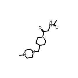 CC(=O)NCC(=O)N1CCC(CN2CCN(C)CC2)CC1